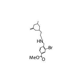 C=C1CC(C)CC(CCCNCc2ccc(C(=O)OC)cc2Br)C1